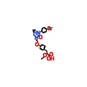 CCOC(Cc1ccc(OCCN(CC2CC2)C(=O)Nc2ccc(Br)cc2)cc1)C(=O)O